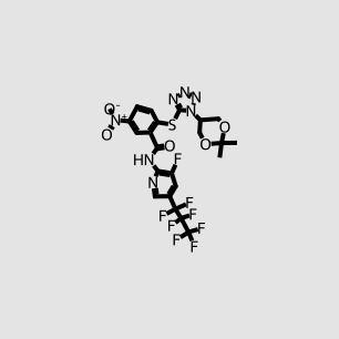 CC1(C)OCC(n2nnnc2Sc2ccc([N+](=O)[O-])cc2C(=O)Nc2ncc(C(F)(F)C(F)(F)C(F)(F)F)cc2F)CO1